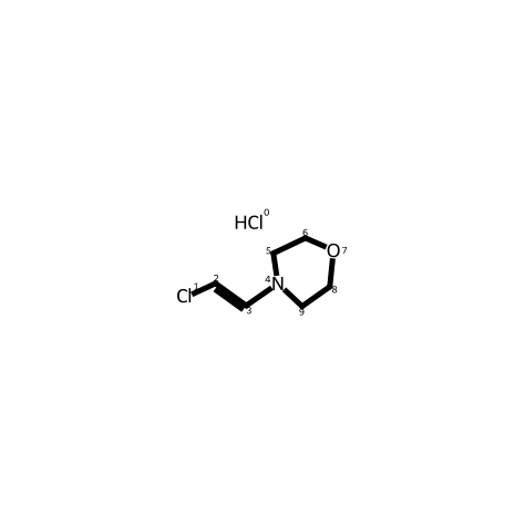 Cl.ClC=CN1CCOCC1